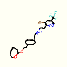 FC(F)(F)c1cnc(CCNCC2CCC(CCOC3CCCCO3)CC2)c(Br)c1